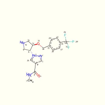 CNC(=O)c1cnn([C@@H]2CNC[C@H]2OCc2ccc(C(F)(F)F)cc2)c1